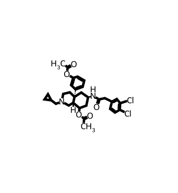 CC(=O)Oc1cccc([C@@]23CCN(CC4CC4)C[C@H]2C(OC(C)=O)C[C@H](NC(=O)Cc2ccc(Cl)c(Cl)c2)C3)c1